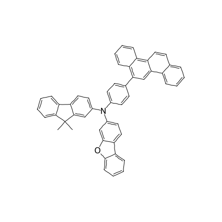 CC1(C)c2ccccc2-c2ccc(N(c3ccc(-c4cc5c6ccccc6ccc5c5ccccc45)cc3)c3ccc4c(c3)oc3ccccc34)cc21